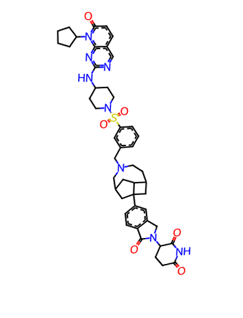 O=C1CCC(N2Cc3cc(C45CC6CC4C(CCN(Cc4cccc(S(=O)(=O)N7CCC(Nc8ncc9ccc(=O)n(C%10CCCC%10)c9n8)CC7)c4)C6)C5)ccc3C2=O)C(=O)N1